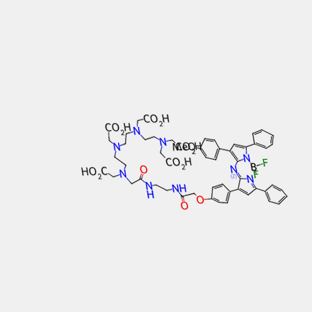 COc1ccc(-c2cc(-c3ccccc3)n(B(F)F)c2/N=C2\N=C(c3ccccc3)C=C2c2ccc(OCC(=O)NCCNC(=O)CN(CCN(CCN(CCN(CC(=O)O)CC(=O)O)CC(=O)O)CC(=O)O)CC(=O)O)cc2)cc1